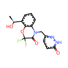 C[C@H](O)c1cccc2c1OC(F)(F)C(=O)N2Cc1ccc(=O)[nH]n1